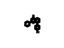 CC(=O)c1ccc(-c2cccc3c(=O)cc(N4CCOCC4)oc23)cc1